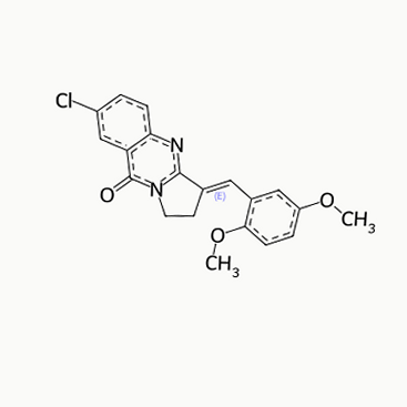 COc1ccc(OC)c(/C=C2\CCn3c2nc2ccc(Cl)cc2c3=O)c1